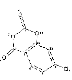 O=c1oc(=O)c2ccc(Cl)cc2o1